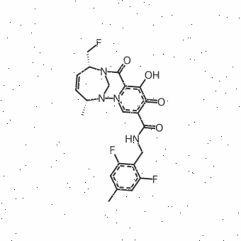 Cc1cc(F)c(CNC(=O)c2cn3c(c(O)c2=O)C(=O)N2CN3[C@H](C)C=C[C@@H]2CF)c(F)c1